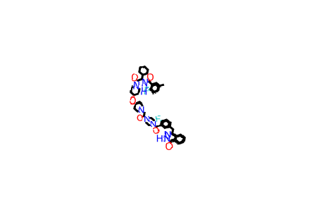 Cc1ccc(F)c(C(=O)N[C@@H](C(=O)N2CCC(OC3CCN(CC(=O)N4CCN(C(=O)c5cc(Cc6n[nH]c(=O)c7ccccc67)ccc5F)CC4)CC3)CC2)C2CCCCC2)c1